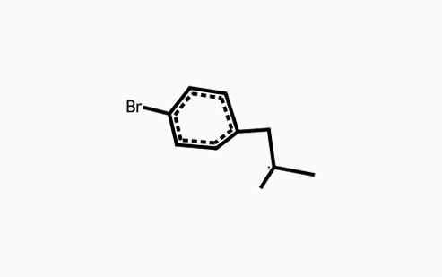 C[C](C)Cc1ccc(Br)cc1